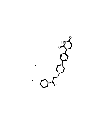 O=C1CCC(c2ccc(N3CCN(CCC(=O)N4CC[CH]CC4)CC3)cc2)C(=O)N1